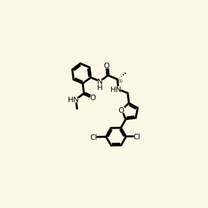 CNC(=O)c1ccccc1NC(=O)[C@H](C)NCc1ccc(-c2cc(Cl)ccc2Cl)o1